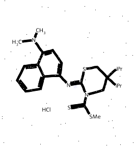 CSC(=S)N1CC(C(C)C)(C(C)C)CS/C1=N\c1ccc(N(C)C)c2ccccc12.Cl